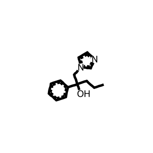 CCCC(O)(Cn1ccnc1)c1ccccc1